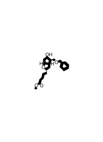 COC(=O)CCCC[C@H]1C[C@@H]2[C@H](COCc3ccccc3)[C@H](O)C[C@@H]2O1